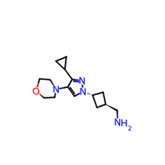 NC[C@H]1C[C@H](n2cc(N3CCOCC3)c(C3CC3)n2)C1